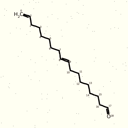 C=CCCCCCCC=CCCCCCCCC=O